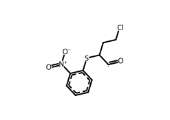 O=[C]C(CCCl)Sc1ccccc1[N+](=O)[O-]